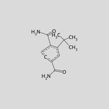 CC(C)(C)c1cc(C(N)=O)ccc1C(N)=O